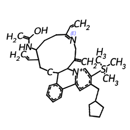 C=C/C1=N/CC(=C)C2C(CCC(C=C)C(NC(=C)O)CC1)c1ccccc1-c1cc(CC3CCCC3)c([Si](C)(C)C)c[n+]12